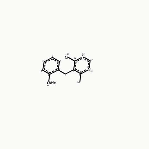 COc1ccccc1Cc1c(C)ncnc1Cl